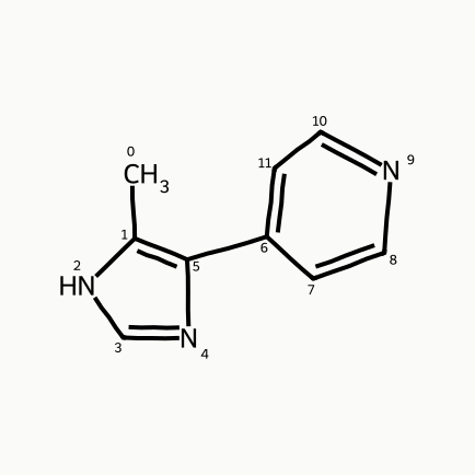 Cc1[nH]cnc1-c1ccncc1